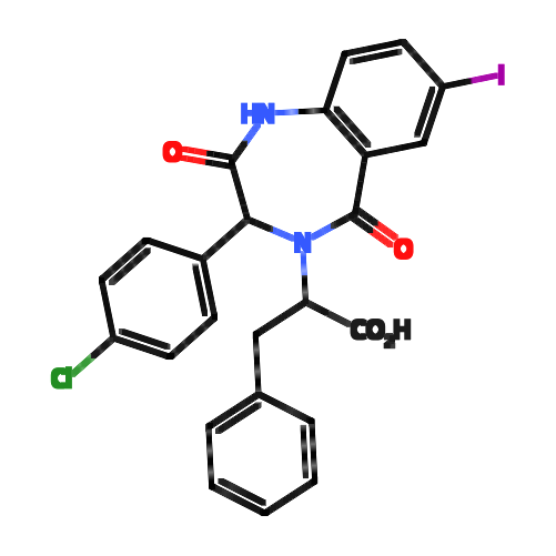 O=C(O)C(Cc1ccccc1)N1C(=O)c2cc(I)ccc2NC(=O)C1c1ccc(Cl)cc1